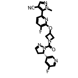 Cn1ncc(C#N)c1-c1ccc(F)c(OC2CN(C(=O)N3N=CC[C@H]3c3cncc(F)c3)C2)n1